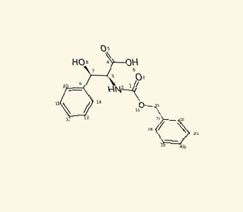 O=C(N[C@H](C(=O)O)[C@H](O)c1ccccc1)OCc1ccccc1